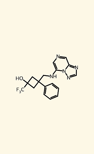 OC1(C(F)(F)F)CC(CNc2cncc3ncnn23)(c2ccccc2)C1